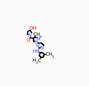 Cc1cc(C)cc(Nc2nccc(-n3cc(C(=O)N4CC[C@H](O)C4)c(C)n3)n2)c1